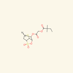 CCC(C)(C)C(=O)OCC(=O)OC1C2OS(=O)(=O)C3C[C@@H]1SC23